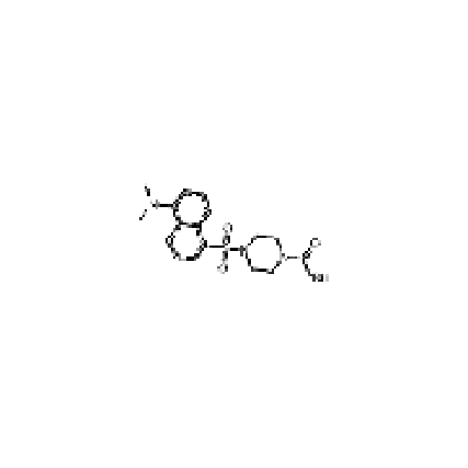 CN(C)c1cccc2c(S(=O)(=O)N3CCN(C(=O)C(C)(C)C)CC3)cccc12